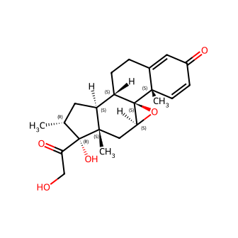 C[C@@H]1C[C@H]2[C@@H]3CCC4=CC(=O)C=C[C@]4(C)[C@@]34O[C@H]4C[C@]2(C)[C@@]1(O)C(=O)CO